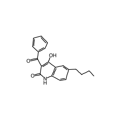 CCCCc1ccc2[nH]c(=O)c(C(=O)c3ccccc3)c(O)c2c1